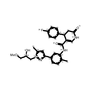 COC[C@@H](O)Cn1nc(-c2ccc(C)c(NC(=O)C3=CNC(=O)CC3c3ccc(F)cc3)c2)cc1C